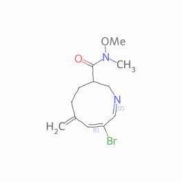 C=C1/C=C(Br)\C=N/CC(C(=O)N(C)OC)CC1